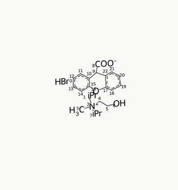 Br.CC(C)[N+](C)(CCO)C(C)C.O=C([O-])C1c2ccccc2Oc2ccccc21